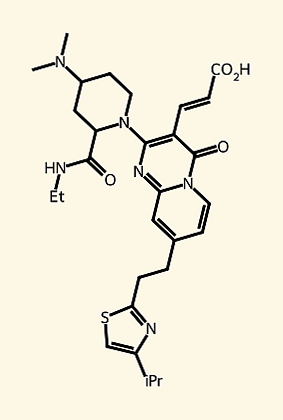 CCNC(=O)C1CC(N(C)C)CCN1c1nc2cc(CCc3nc(C(C)C)cs3)ccn2c(=O)c1C=CC(=O)O